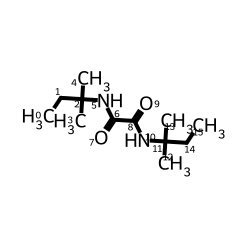 CCC(C)(C)NC(=O)C(=O)NC(C)(C)CC